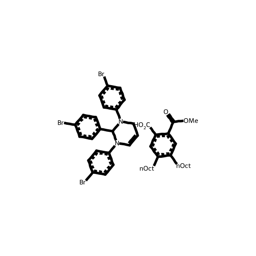 Brc1ccc(C2N(c3ccc(Br)cc3)C=CCN2c2ccc(Br)cc2)cc1.CCCCCCCCc1cc(C(=O)O)c(C(=O)OC)cc1CCCCCCCC